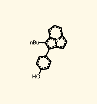 CCCCc1c(-c2ccc(O)cc2)c2ccc3cccc1n32